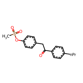 CCCc1ccc(C(=O)Cc2ccc(OS(C)(=O)=O)cc2)cc1